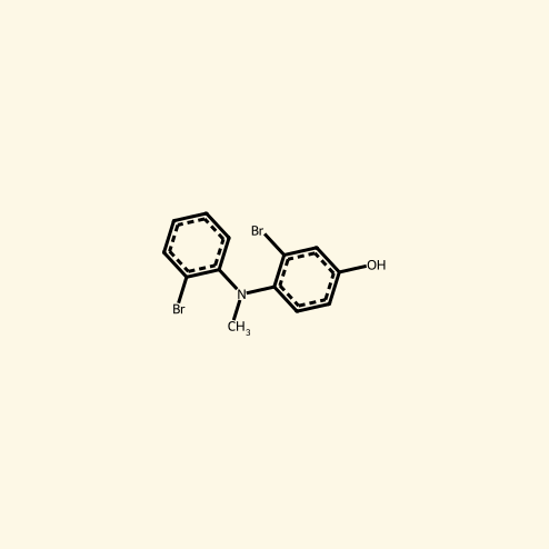 CN(c1ccccc1Br)c1ccc(O)cc1Br